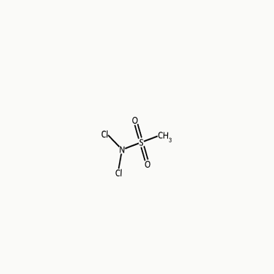 CS(=O)(=O)N(Cl)Cl